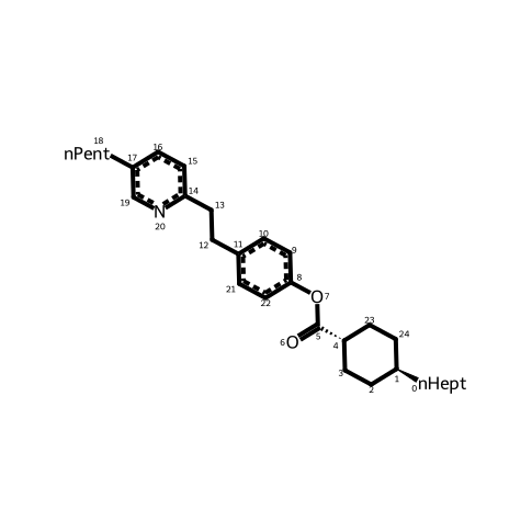 CCCCCCC[C@H]1CC[C@H](C(=O)Oc2ccc(CCc3ccc(CCCCC)cn3)cc2)CC1